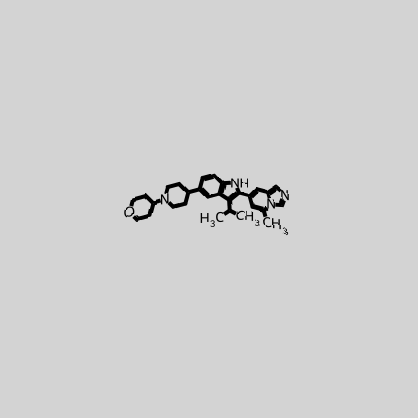 Cc1cc(-c2[nH]c3ccc(C4CCN(C5CCOCC5)CC4)cc3c2C(C)C)cc2cncn12